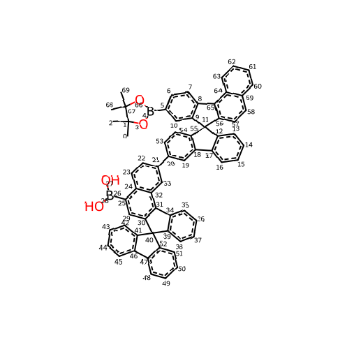 CC1(C)OB(c2ccc3c(c2)C2(c4ccccc4-c4cc(-c5ccc6c(B(O)O)cc7c(c6c5)-c5ccccc5C75c6ccccc6-c6ccccc65)ccc42)c2ccc4ccccc4c2-3)OC1(C)C